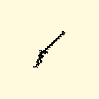 CCCCN1CCN(c2ccc(C(=O)NCCCCCCCCCCCCCCCCCCBr)cn2)CC1